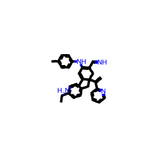 C=C(c1ccccn1)C1(Cc2ccc(CC)cc2)CC(C=N)=C(Nc2ccc(C)cc2)C=C1CCN